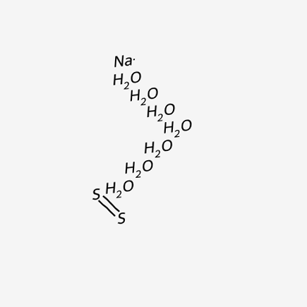 O.O.O.O.O.O.O.S=S.[Na]